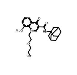 COc1cccc2c(=O)c(C(=O)NC34CC5CC(CC(C5)C3)C4)cn(CCOCC[18F])c12